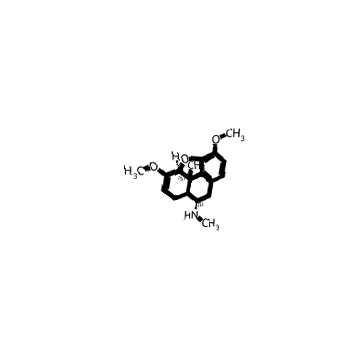 CN[C@H]1Cc2ccc(OC)c3c2C2(C)C1CC=C(OC)[C@H]2O3